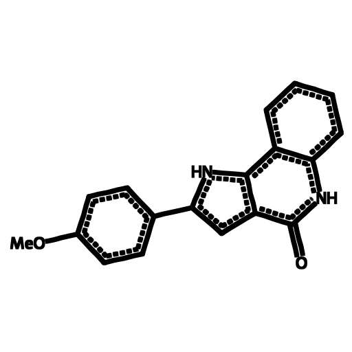 COc1ccc(-c2cc3c(=O)[nH]c4ccccc4c3[nH]2)cc1